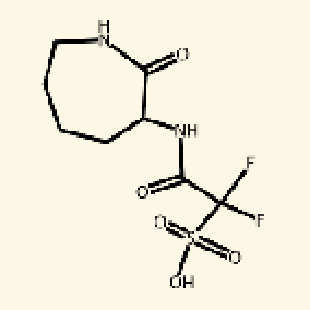 O=C1NCCCCC1NC(=O)C(F)(F)S(=O)(=O)O